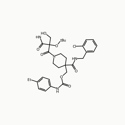 CCc1ccc(NC(=O)OCC2(C(=O)NCc3ccccc3Cl)CCN(C(=O)C(CO)(OC(C)(C)C)C([NH])=O)CC2)cc1